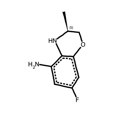 C[C@H]1COc2cc(F)cc(N)c2N1